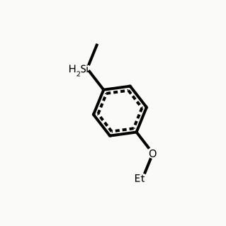 CCOc1ccc([SiH2]C)cc1